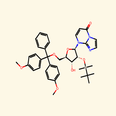 COc1ccc(C(OC[C@H]2O[C@@H](n3ccc(=O)n4ccnc34)[C@H](O[Si](C)(C)C(C)(C)C)[C@@H]2O)(c2ccccc2)c2ccc(OC)cc2)cc1